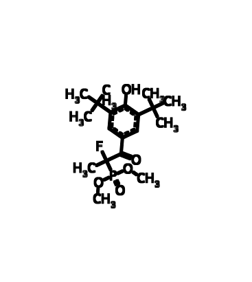 COP(=O)(OC)C(C)(F)C(=O)c1cc(C(C)(C)C)c(O)c(C(C)(C)C)c1